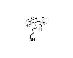 O=P(O)(O)CC(SCCCS)P(=O)(O)O